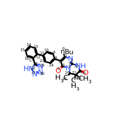 CCCCc1nc2n(c(=O)c1-c1ccc(-c3ccccc3-c3nnn[nH]3)cc1)C(C)C(C)(C)C(=O)N2